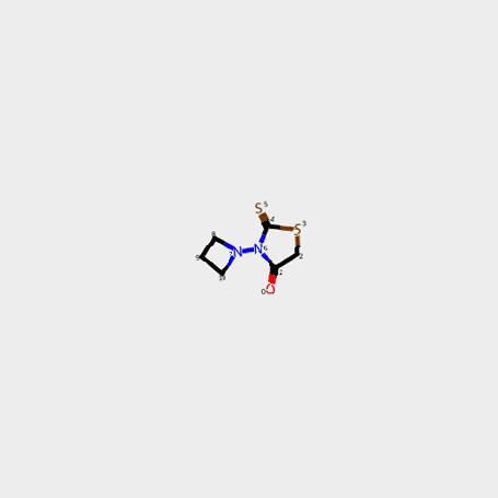 O=C1CSC(=S)N1N1CCC1